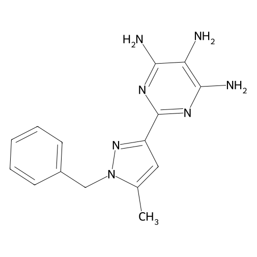 Cc1cc(-c2nc(N)c(N)c(N)n2)nn1Cc1ccccc1